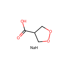 O=C(O)C1COOC1.[NaH]